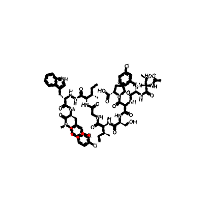 CC[C@H](C)[C@H](NC(=O)CNC(=O)[C@@H](NC(=O)[C@H](CO)NC(=O)C(NC(=O)[C@H](Cc1cccc(Cl)c1)NC(=O)[C@@](N)(NC(C)=O)[C@@H](C)O)C(=O)N1CCC[C@H]1C(=O)O)[C@@H](C)CC)C(=O)NN[C@@H](Cc1c[nH]c2ccccc12)C(=O)N[C@@H](Cc1cccc(Cl)c1)C(=O)N(C)CCc1ccc(Cl)cc1